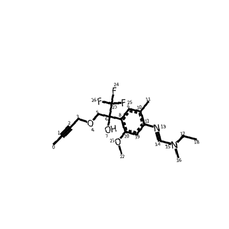 CC#CCOCC(O)(c1cc(C)c(/N=C/N(C)CC)cc1OC)C(F)(F)F